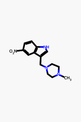 CN1CCN(Cc2c[nH]c3ccc([N+](=O)[O-])cc23)CC1